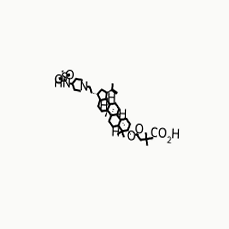 C=C(C)[C@@H]1C[C@@H](CCN2CCC(NS(C)(=O)=O)CC2)C2CC[C@]3(C)[C@H](CC[C@@H]4[C@@]5(C)CC[C@H](OC(=O)CC(C)(C)CC(=O)O)C(C)(C)[C@@H]5CC[C@]43C)[C@H]21